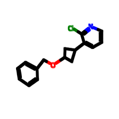 Clc1ncccc1C1CC(OCc2ccccc2)C1